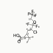 CC1(C)C(C=C(Cl)C(F)(F)OCC(F)(F)F)C1C(=O)O